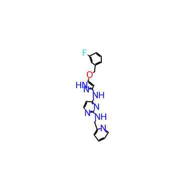 Fc1cccc(COc2cc(Nc3ccnc(NCc4ccccn4)n3)n[nH]2)c1